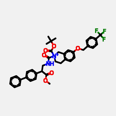 COC(=O)C(CNC(=O)[N+]1(C(=O)OC(C)(C)C)CCc2ccc(OCc3ccc(C(F)(F)F)cc3)cc2C1)c1ccc(-c2ccccc2)cc1